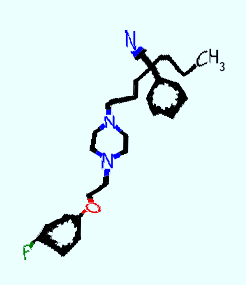 CCCC(C#N)(CCCN1CCN(CCOc2ccc(F)cc2)CC1)c1ccccc1